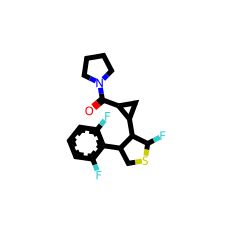 O=C(C1CC1C1C(F)SCC1c1c(F)cccc1F)N1CCCC1